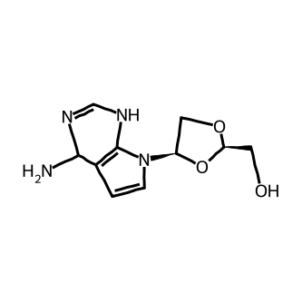 NC1N=CNc2c1ccn2[C@H]1CO[C@@H](CO)O1